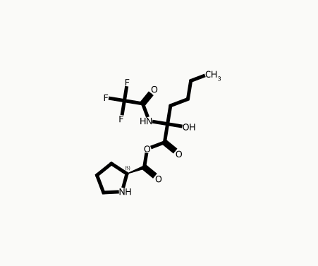 CCCCC(O)(NC(=O)C(F)(F)F)C(=O)OC(=O)[C@@H]1CCCN1